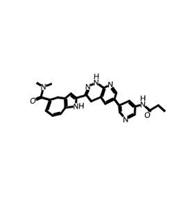 CCC(=O)Nc1cncc(-c2cnc3c(c2)CC(c2cc4c([nH]2)C=CC=C(C(=O)N(C)C)C4)=NN3)c1